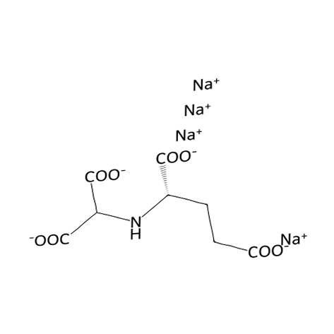 O=C([O-])CC[C@H](NC(C(=O)[O-])C(=O)[O-])C(=O)[O-].[Na+].[Na+].[Na+].[Na+]